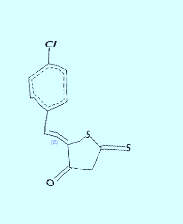 O=C1CC(=S)S/C1=C\c1ccc(Cl)cc1